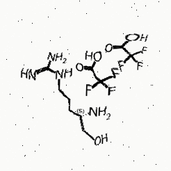 N=C(N)NCCC[C@H](N)CO.O=C(O)C(F)(F)F.O=C(O)C(F)(F)F